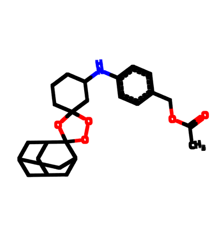 CC(=O)OCc1ccc(NC2CCCC3(C2)OOC2(O3)C3CC4CC(C3)CC2C4)cc1